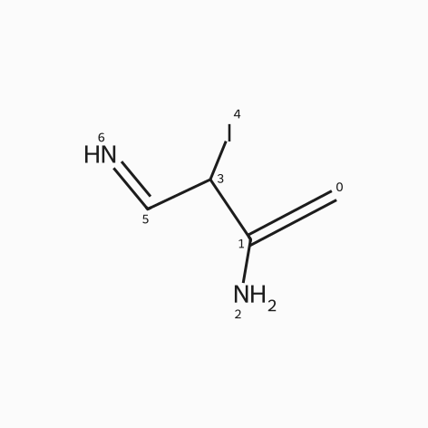 C=C(N)C(I)C=N